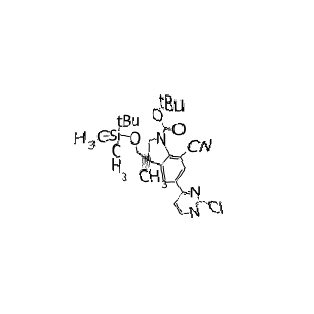 CC(C)(C)OC(=O)N1C[C@](C)(CO[Si](C)(C)C(C)(C)C)c2cc(-c3ccnc(Cl)n3)cc(C#N)c21